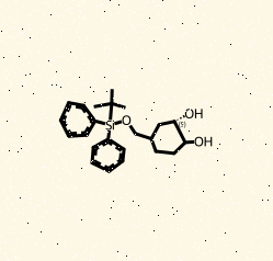 CC(C)(C)[Si](OCC1CCC(O)[C@@H](O)C1)(c1ccccc1)c1ccccc1